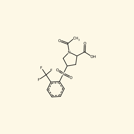 CC(=O)N1CC(S(=O)(=O)c2ccccc2C(F)(F)F)CC1C(=O)O